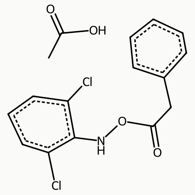 CC(=O)O.O=C(Cc1ccccc1)ONc1c(Cl)cccc1Cl